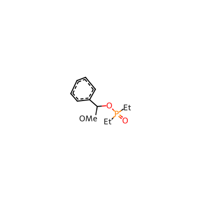 CCP(=O)(CC)OC(OC)c1ccccc1